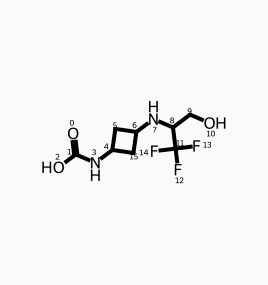 O=C(O)NC1CC(NC(CO)C(F)(F)F)C1